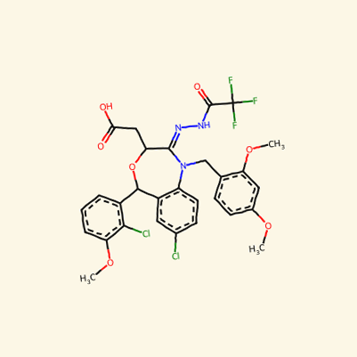 COc1ccc(CN2C(=NNC(=O)C(F)(F)F)C(CC(=O)O)OC(c3cccc(OC)c3Cl)c3cc(Cl)ccc32)c(OC)c1